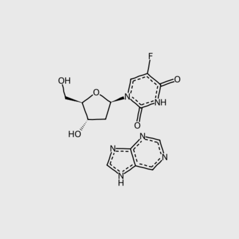 O=c1[nH]c(=O)n([C@H]2C[C@H](O)[C@@H](CO)O2)cc1F.c1ncc2[nH]cnc2n1